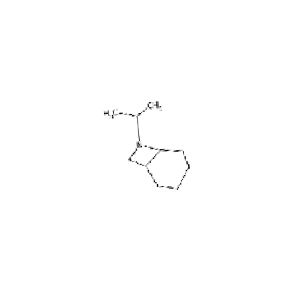 CC(C)N1CC2CCCCC21